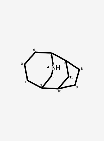 C1CC2CNC(C1)C1CCC2C1